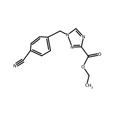 CCOC(=O)c1ncn(Cc2ccc(C#N)cc2)n1